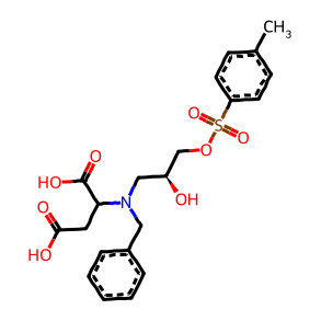 Cc1ccc(S(=O)(=O)OC[C@@H](O)CN(Cc2ccccc2)C(CC(=O)O)C(=O)O)cc1